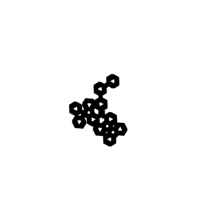 c1ccc(-c2cccc(-c3ccc(N(c4cccc5c4-c4ccccc4C5(c4ccccc4)c4ccccc4)c4cccc5c4-c4ccccc4C54c5ccccc5-c5ccccc54)cc3)c2)cc1